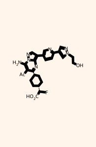 CC(=O)c1c(N)n2ncc(-c3ccc(-c4cnn(CCO)c4)nc3)c2nc1[C@H]1CC[C@@H](C(F)C(=O)O)CC1